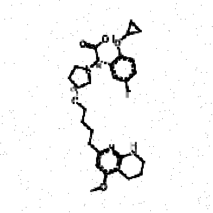 COc1cc(CCCCO[C@@H]2CCN([C@H](C(=O)O)c3cc(F)ccc3OC3CC3)C2)nc2c1CCCN2